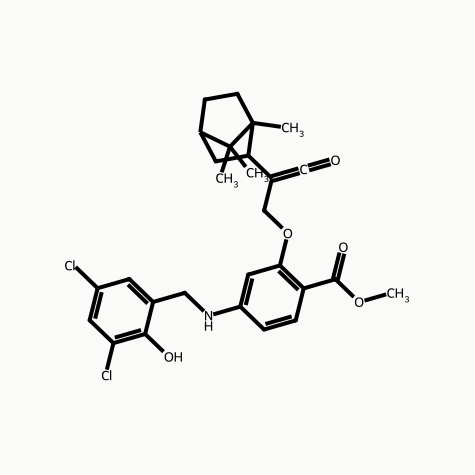 COC(=O)c1ccc(NCc2cc(Cl)cc(Cl)c2O)cc1OCC(=C=O)C1CC2CCC1(C)C2(C)C